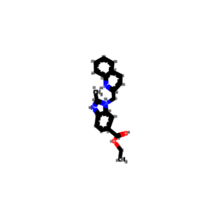 CCOC(=O)c1ccc2nc(C)n(Cc3ccc4ccccc4n3)c2c1